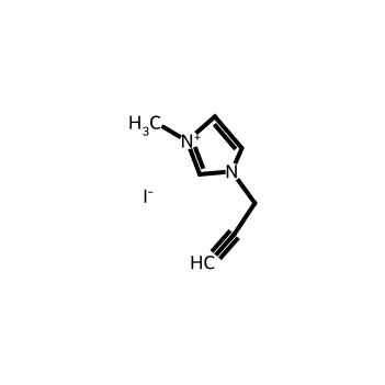 C#CCn1cc[n+](C)c1.[I-]